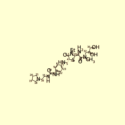 CCN1C(=O)[C@@H](CNc2ccc(NC(=O)NCCN3CCCC3)cc2)SC1[C@H](N)C(=O)N(C)CC(O)CO